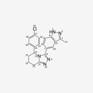 Cc1n[nH]c2ccc(-c3nnc4n3C(c3ccc(Cl)cc3)CCC4)cc12